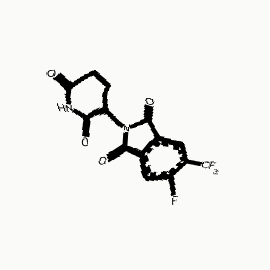 O=C1CCC(N2C(=O)c3cc(F)c(C(F)(F)F)cc3C2=O)C(=O)N1